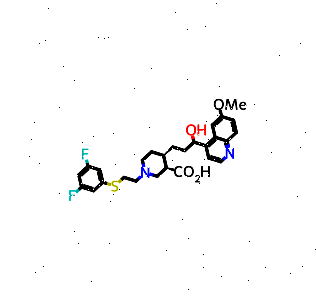 COc1ccc2nccc(C(O)CC[C@@H]3CCN(CCSc4cc(F)cc(F)c4)C[C@@H]3C(=O)O)c2c1